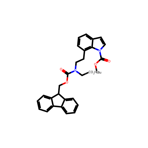 CC(C)(C)OC(=O)n1ccc2cccc(CCN(CC(=O)O)C(=O)OCC3c4ccccc4-c4ccccc43)c21